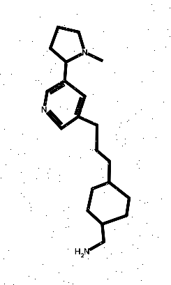 CN1CCCC1c1cncc(CCCC2CCC(CN)CC2)c1